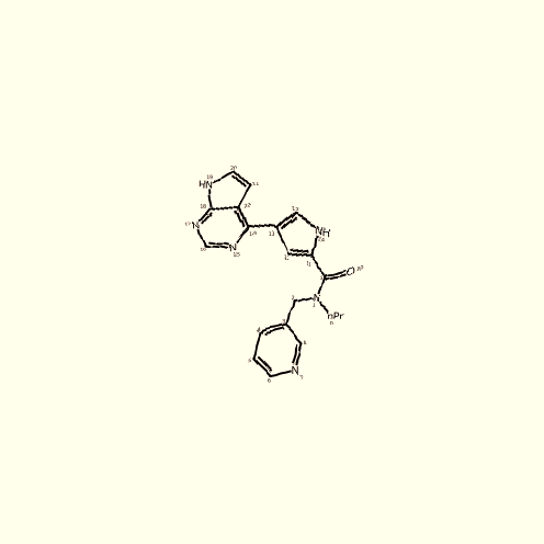 CCCN(Cc1cccnc1)C(=O)c1cc(-c2ncnc3[nH]ccc23)c[nH]1